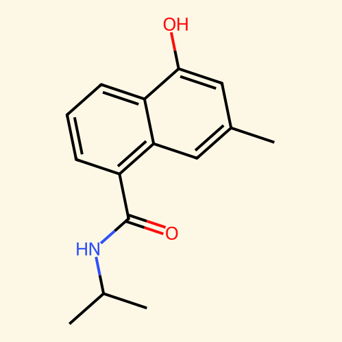 Cc1cc(O)c2cccc(C(=O)NC(C)C)c2c1